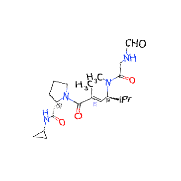 C/C(=C\[C@H](C(C)C)N(C)C(=O)CNC=O)C(=O)N1CCC[C@H]1C(=O)NC1CC1